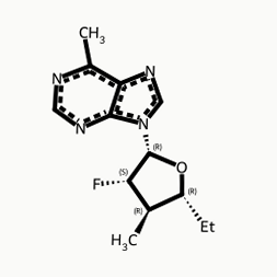 CC[C@H]1O[C@@H](n2cnc3c(C)ncnc32)[C@@H](F)[C@@H]1C